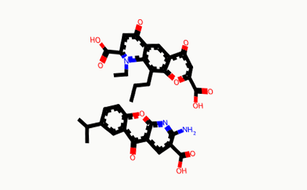 CC(C)c1ccc2oc3nc(N)c(C(=O)O)cc3c(=O)c2c1.CCCc1c2oc(C(=O)O)cc(=O)c2cc2c(=O)cc(C(=O)O)n(CC)c12